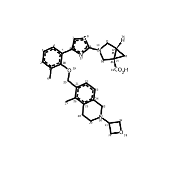 Cc1cccc(-c2csc(N3C[C@@H]4C[C@]4(C(=O)O)C3)n2)c1OCc1ccc2c(c1C)CCN(C1COC1)C2